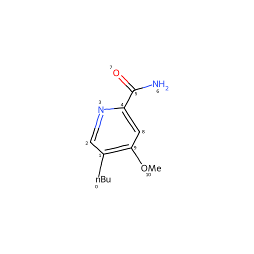 CCCCc1cnc(C(N)=O)cc1OC